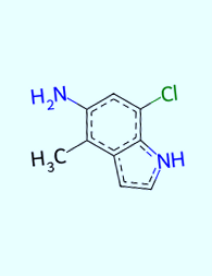 Cc1c(N)cc(Cl)c2[nH]ccc12